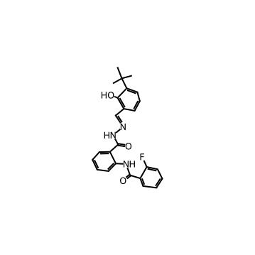 CC(C)(C)c1cccc(/C=N/NC(=O)c2ccccc2NC(=O)c2ccccc2F)c1O